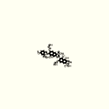 CN=Nc1c(S(=O)(=O)O)cc2cc(SOOO)c(N=Nc3cc4c(O)c(N=Nc5ccc(OC)cc5S(=O)(=O)O)c(SOOO)cc4cc3S(=O)(=O)O)c(N)c2c1O